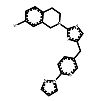 Brc1ccc2c(c1)CN(c1ncc(Cc3ccc(-n4cccn4)nc3)s1)CC2